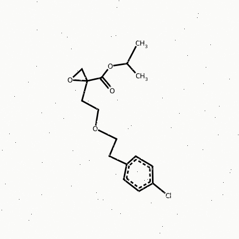 CC(C)OC(=O)C1(CCOCCc2ccc(Cl)cc2)CO1